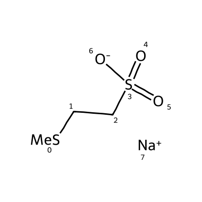 CSCCS(=O)(=O)[O-].[Na+]